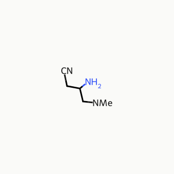 CNCC(N)CC#N